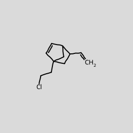 C=CC1CC2(CCCl)C=CC1C2